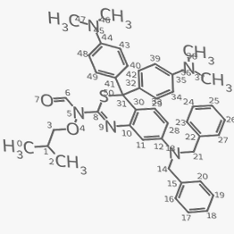 CC(C)CON(C=O)C1=Nc2cc(N(Cc3ccccc3)Cc3ccccc3)ccc2C(c2ccc(N(C)C)cc2)(c2ccc(N(C)C)cc2)S1